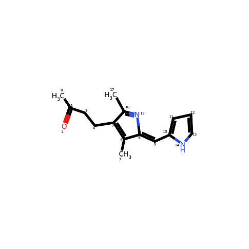 CC(=O)CCC1=C(C)/C(=C/c2ccc[nH]2)N=C1C